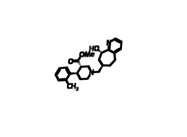 COC(=O)[C@@H]1CN(C[C@@H]2CCc3cccnc3[C@@H](O)C2)CC[C@H]1c1ccccc1C